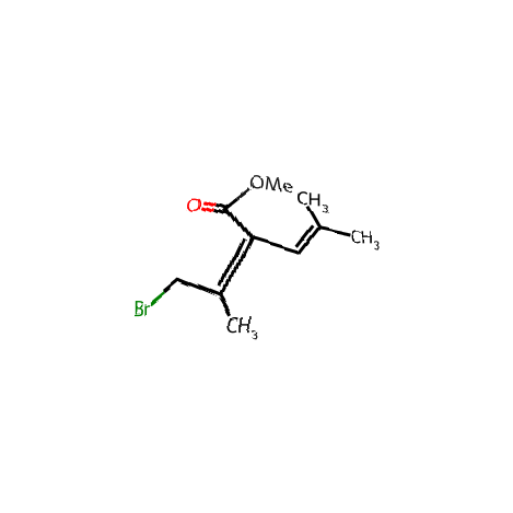 COC(=O)/C(C=C(C)C)=C(/C)CBr